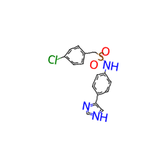 O=S(=O)(Cc1ccc(Cl)cc1)Nc1ccc(-c2c[nH]cn2)cc1